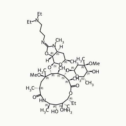 CC[C@H]1OC(=O)[C@H](C)[C@@H](O[C@H]2C[C@@](C)(OC)[C@@H](O)[C@H](C)O2)[C@H](C)[C@@H](O[C@@H]2O[C@H](C)C[C@H]3[C@H]2OC(=NCCCN(CC)CC)N3C)[C@](C)(OC)C[C@@H](C)C(=O)N[C@H](C)[C@@H](O)[C@]1(C)O